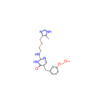 COCOc1cccc(Cc2cnc(NCCSCc3nc[nH]c3C)[nH]c2=O)c1